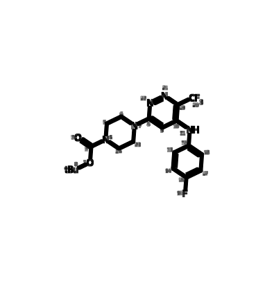 CC(C)(C)OC(=O)N1CCN(c2cc(Nc3ccc(F)cc3)c(C(F)(F)F)nn2)CC1